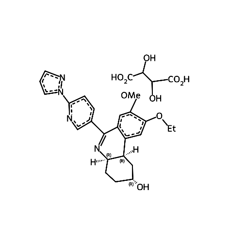 CCOc1cc2c(cc1OC)C(c1ccc(-n3cccn3)nc1)=N[C@@H]1CC[C@@H](O)C[C@H]21.O=C(O)C(O)C(O)C(=O)O